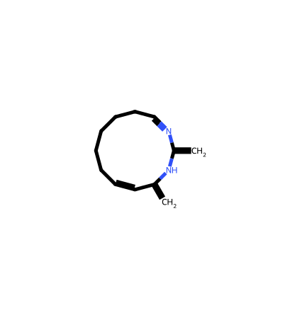 C=C1/C=C\CCCCC/C=N\C(=C)N1